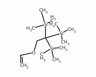 C=COCC([Si](C)(C)C)([Si](C)(C)C)[Si](C)(C)C